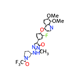 COc1ccc2c(Oc3ccc(-c4cnc(NC5CCCN(C(=O)C(F)(F)F)C5)n(C)c4=O)cc3F)ccnc2c1OC